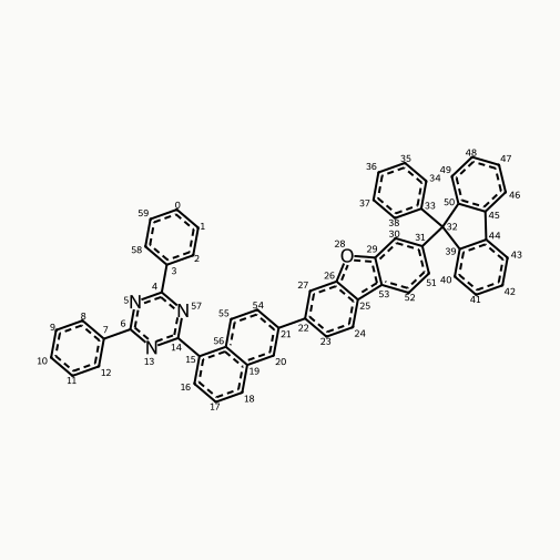 c1ccc(-c2nc(-c3ccccc3)nc(-c3cccc4cc(-c5ccc6c(c5)oc5cc(C7(c8ccccc8)c8ccccc8-c8ccccc87)ccc56)ccc34)n2)cc1